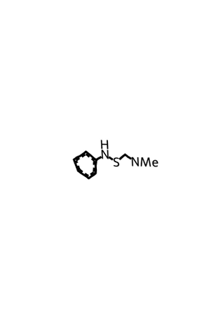 CNCSNc1ccccc1